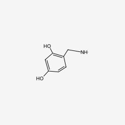 [NH]Cc1ccc(O)cc1O